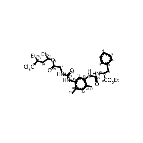 CCOC(=O)[C@H](Cc1ccccc1)NC(=O)Nc1cc(NC(=O)NCC(=O)OC(CC)CC(CC)C(Cl)(Cl)Cl)c(C)cc1C